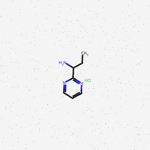 CCC(N)c1ncccn1.Cl